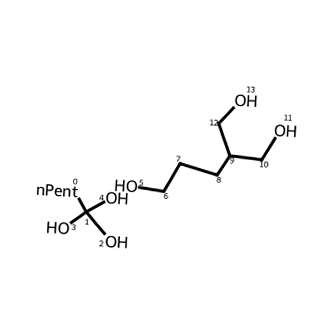 CCCCCC(O)(O)O.OCCCC(CO)CO